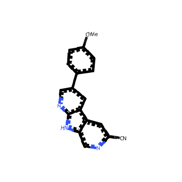 COc1ccc(-c2cnc3[nH]c4cnc(C#N)cc4c3c2)cc1